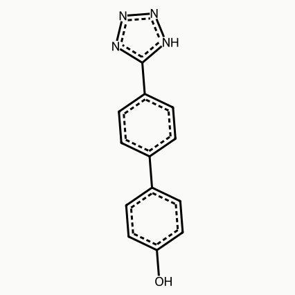 Oc1ccc(-c2ccc(-c3nnn[nH]3)cc2)cc1